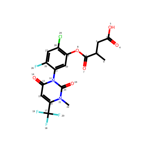 CC(CC(=O)O)C(=O)Oc1cc(-n2c(=O)cc(C(F)(F)F)n(C)c2=O)c(F)cc1Cl